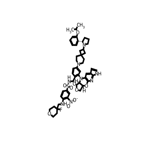 CC(C)Oc1ccccc1[C@@H]1CCCN1C1CC2(CCN(c3ccc(C(=O)NS(=O)(=O)c4ccc(NCC5(F)CCOCC5)c([N+](=O)[O-])c4)c(N4c5cc6cc[nH]c6nc5O[C@@H]5COC[C@H]54)c3)CC2)C1